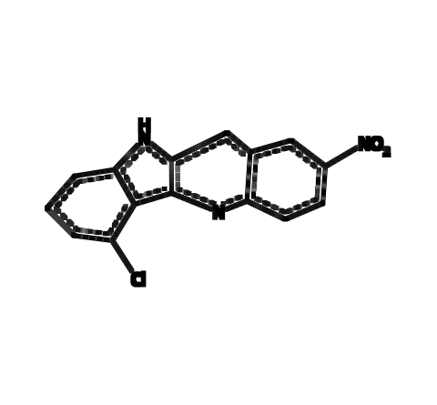 O=[N+]([O-])c1ccc2nc3c(cc2c1)[nH]c1cccc(Cl)c13